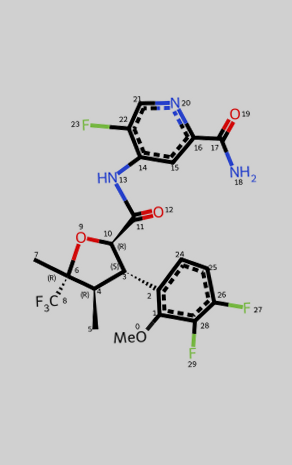 COc1c([C@@H]2[C@@H](C)[C@](C)(C(F)(F)F)O[C@H]2C(=O)Nc2cc(C(N)=O)ncc2F)ccc(F)c1F